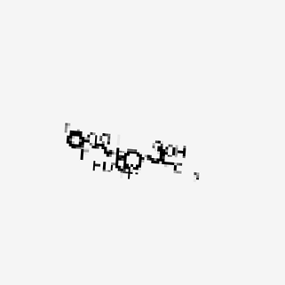 CCCC(CC[C@@H]1CC[C@@H]2[C@@H](C=C[C@@H](O)COc3cc(F)ccc3F)[C@@H](O)C[C@@H]2OC1)C(=O)O